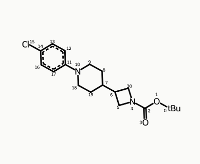 CC(C)(C)OC(=O)N1CC(C2CCN(c3ccc(Cl)cc3)CC2)C1